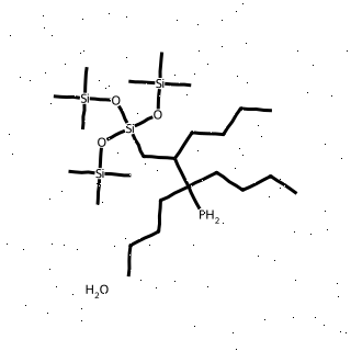 CCCCC(C[Si](O[Si](C)(C)C)(O[Si](C)(C)C)O[Si](C)(C)C)C(P)(CCCC)CCCC.O